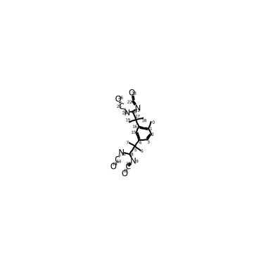 Cc1ccc(C(C)(C)C(N=C=O)N=C=O)cc1C(C)(C)C(N=C=O)N=C=O